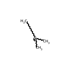 CCCCCCCCCCCCCCN1C=CN(CCCCC)C1CCCCCC